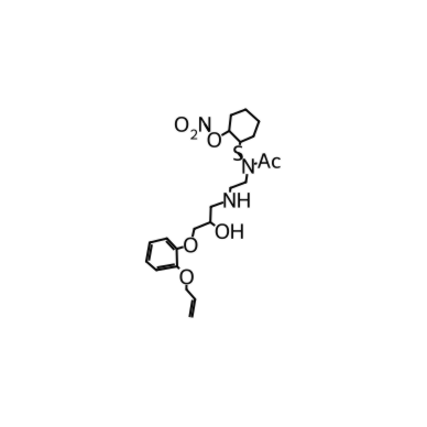 C=CCOc1ccccc1OCC(O)CNCCN(SC1CCCCC1O[N+](=O)[O-])C(C)=O